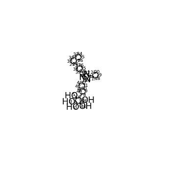 Oc1c(O)c(O)c(-c2ccc3cc(-c4nc(-c5ccccc5)nc(-c5ccc(-c6cccc7ccccc67)cc5)n4)ccc3c2)c(O)c1O